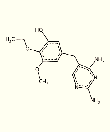 CCOc1c(O)cc(Cc2cnc(N)nc2N)cc1OC